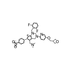 CN(C)Cc1c(-c2ccc([N+](=O)[O-])cc2)sc2c1CN(c1ccc(OCC3COC3)cn1)CN2Cc1c(F)cccc1F